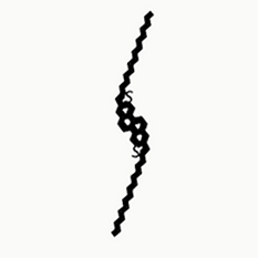 CCCCCCCCCCCCCCc1cc2cc3ccc4c5cc6sc(CCCCCCCCCCCCCC)cc6cc5ccc4c3cc2s1